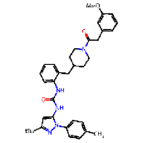 COc1cccc(CC(=O)N2CCC(Cc3ccccc3NC(=O)Nc3cc(C(C)(C)C)nn3-c3ccc(C)cc3)CC2)c1